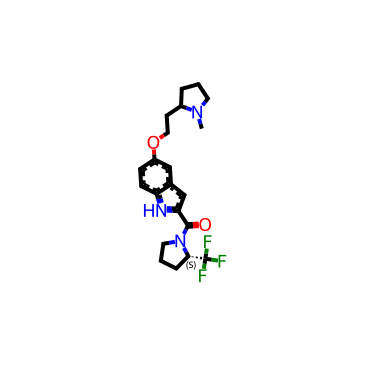 CN1CCCC1CCOc1ccc2[nH]c(C(=O)N3CCC[C@H]3C(F)(F)F)cc2c1